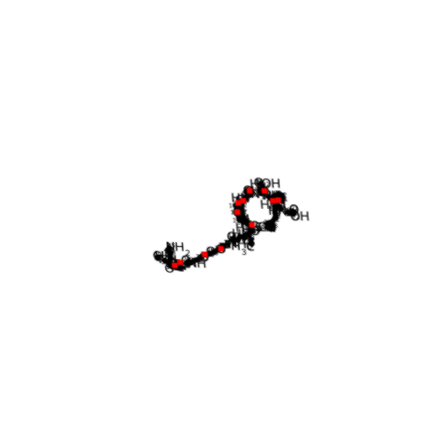 CCCC[C@H](NC(=O)CCC(=O)NCCCOCCOCCOCCCNC(=O)CN1CCN(C(=O)C(CNCC)CNCCN)CC1)C(=O)N[C@H]1CSCc2cccc(c2)CSC[C@@H](C(=O)NCCC(=O)O)NC(=O)[C@H](Cc2ccccc2)NC(=O)[C@H](CCC(=O)O)NC(=O)[C@H](CC)NC(=O)[C@@H]2CCCN2C(=O)[C@@H]2CCCN2C1=O